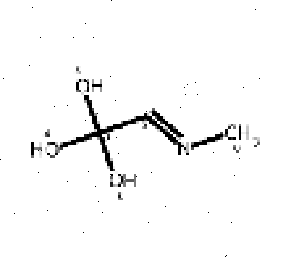 CN=CC(O)(O)O